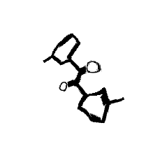 Cc1cccc(C(=O)C(=O)c2cccc(C)c2)c1